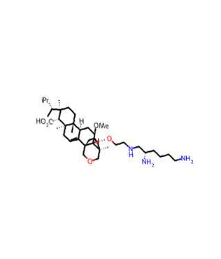 CO[C@@H]1C[C@]23COC[C@@](C)([C@@H]2CC[C@H]2C3=CC[C@@]3(C)[C@H](C(=O)O)[C@@](C)([C@H](C)C(C)C)CC[C@]23C)[C@H]1OCCNC[C@@H](N)CCCCN